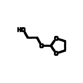 OCCOC1OCCO1